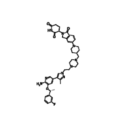 Cc1nn(CCN2CCN(CC3CCN(c4ccc5c(c4)CN(C4CCC(=O)NC4=O)C5=O)CC3)CC2)cc1-c1cnc(N)c(O[C@H](C)c2cccc(F)c2)c1